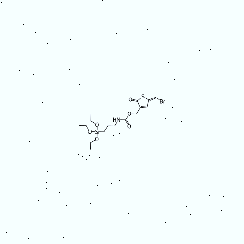 CCO[Si](CCCNC(=O)OCC1=CC(=CBr)SC1=O)(OCC)OCC